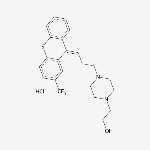 Cl.OCCN1CCN(CCC=C2c3ccccc3Sc3ccc(C(F)(F)F)cc32)CC1